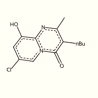 CCCCc1c(C)nc2c(O)cc(Cl)cn2c1=O